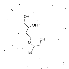 CCC(CO)OCCC(O)CO